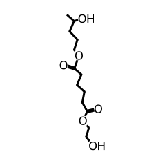 CC(O)CCCOC(=O)CCCCC(=O)OCCO